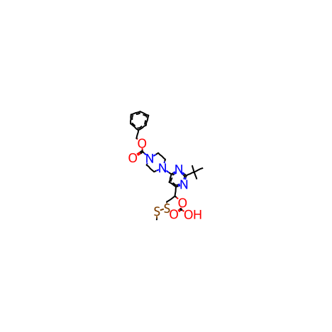 CSSCC(OC(=O)O)c1cc(N2CCN(C(=O)OCc3ccccc3)CC2)nc(C(C)(C)C)n1